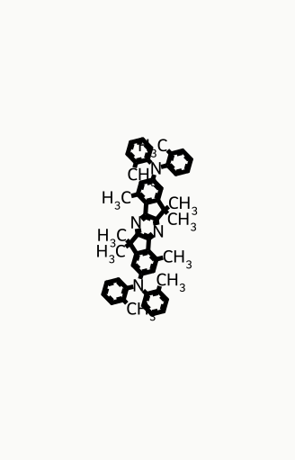 Cc1ccccc1N(c1cc(C)c2c(c1)C(C)(C)c1nc3c(nc1-2)C(C)(C)c1cc(N(c2ccccc2C)c2ccccc2C)cc(C)c1-3)c1ccccc1C